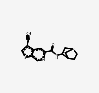 C#Cc1csc2cnc(C(=O)NC3CN4CCC3C4)cc12